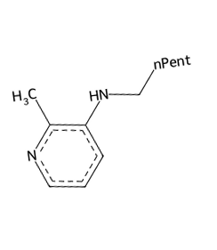 CCCCCCNc1cccnc1C